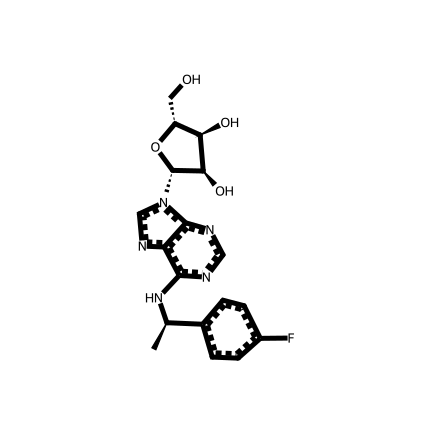 C[C@@H](Nc1ncnc2c1ncn2[C@@H]1O[C@H](CO)[C@@H](O)[C@H]1O)c1ccc(F)cc1